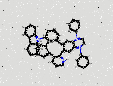 c1ccc(-n2ccn(-c3ccccc3)c3cc4c(cc32)c2cccc(-n3c5ccccc5c5ccccc53)c2c2ccccc2c2cccnc24)cc1